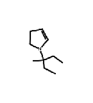 CCC(C)(CC)N1C=CCC1